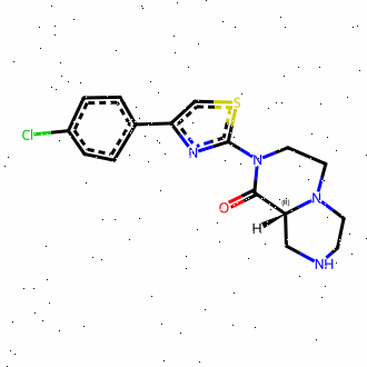 O=C1[C@H]2CNCCN2CCN1c1nc(-c2ccc(Cl)cc2)cs1